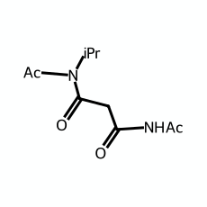 CC(=O)NC(=O)CC(=O)N(C(C)=O)C(C)C